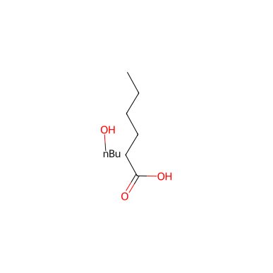 CCCCCC(=O)O.CCCCO